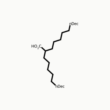 CCCCCCCCCCCCCCCC(CCCCCCCCCCCCCCC)C(=O)O